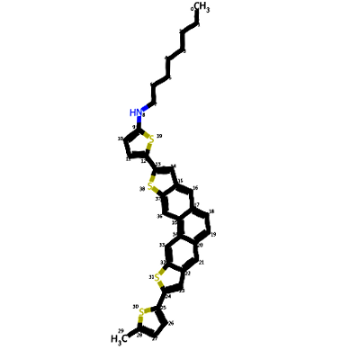 CCCCCCCCNc1ccc(-c2cc3cc4ccc5cc6cc(-c7ccc(C)s7)sc6cc5c4cc3s2)s1